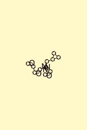 c1cc(-c2ccc3c4ccccc4c4ccccc4c3c2)cc(-c2nc(-c3ccc4c(c3)oc3cccc(-c5ccc6oc7ccccc7c6c5)c34)nc(-c3cccc4oc5ccccc5c34)n2)c1